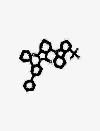 O=C1c2cccc(-n3c4ccccc4c4c(C(F)(F)F)cccc43)c2C(=O)N1c1ccc(-c2ccccc2)cc1-c1ccccc1